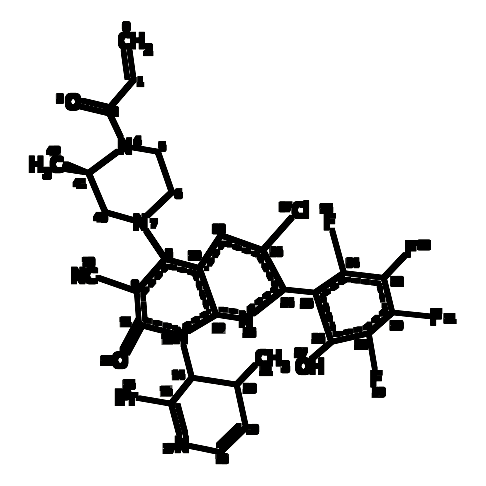 C=CC(=O)N1CCN(c2c(C#N)c(=O)n(C3C(C(C)C)=NC=CC3C)c3nc(-c4c(O)c(F)c(F)c(F)c4F)c(Cl)cc23)C[C@H]1C